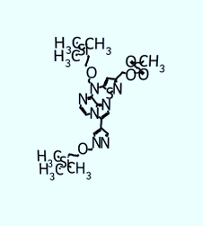 C[Si](C)(C)CCOCN(c1cc(COS(C)(=O)=O)ns1)c1nccn2c(-c3cnn(COCC[Si](C)(C)C)c3)cnc12